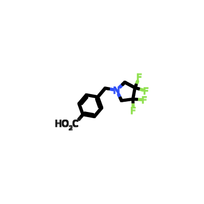 O=C(O)c1ccc(CN2CC(F)(F)C(F)(F)C2)cc1